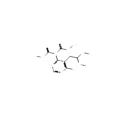 CCOC(Cc1c(Cl)ncnc1N(C(=O)OC(C)(C)C)C(=O)OC(C)(C)C)OCC